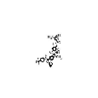 Cc1cc(C(=O)NCc2ccc(Cl)c(Nc3nc4cc(C(=O)N[C@H]5CC[C@H](C(F)(F)F)CC5)c(N5CC6CC6C5)cc4n3C)c2Cl)nn1C